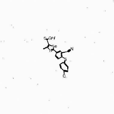 Cc1nc(-c2ccc(Sc3ccc(Cl)cc3)c(C#N)c2)[se]c1C(=O)O